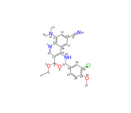 CCOC(=O)c1cnc2c(N(C)C)cc(C#N)cc2c1NCc1ccc(OC)c(Cl)c1